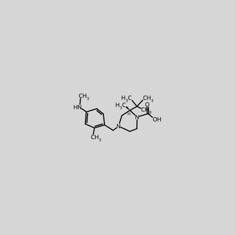 CNc1ccc(CN2CCN(C(=O)O)[C@@](C)(C(C)(C)C)C2)c(C)c1